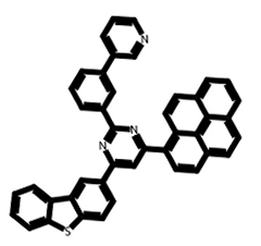 c1cncc(-c2cccc(-c3nc(-c4ccc5sc6ccccc6c5c4)cc(-c4ccc5ccc6cccc7ccc4c5c67)n3)c2)c1